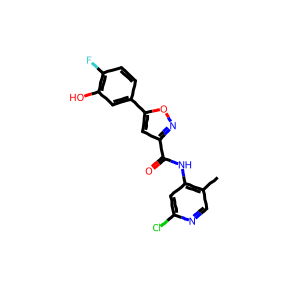 Cc1cnc(Cl)cc1NC(=O)c1cc(-c2ccc(F)c(O)c2)on1